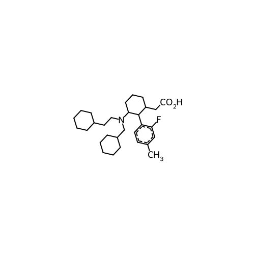 Cc1ccc(C2C(CC(=O)O)CCCC2N(CCC2CCCCC2)CC2CCCCC2)c(F)c1